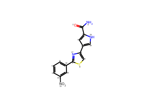 NC(=O)c1cc(-c2csc(-c3cccc([N+](=O)[O-])c3)n2)c[nH]1